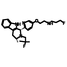 C[C@@H]1Cc2c([nH]c3ccccc23)[C@H](c2ccc(OCCNCCCF)cn2)N1CC(C)(C)F